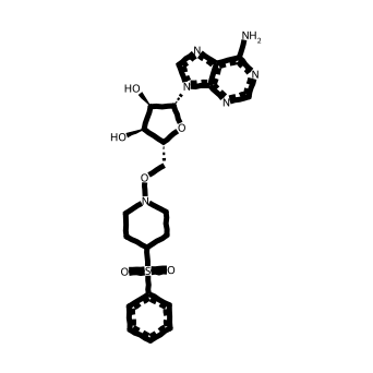 Nc1ncnc2c1ncn2[C@@H]1O[C@H](CON2CCC(S(=O)(=O)c3ccccc3)CC2)[C@@H](O)[C@H]1O